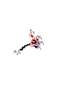 C=CCCCCCCCCO[C@H]1O[C@H](COC(C)=O)[C@H](OC(C)=O)[C@H](OC(C)=O)[C@H]1NC(C)=O